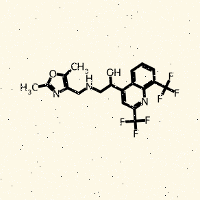 Cc1nc(CNCC(O)c2cc(C(F)(F)F)nc3c(C(F)(F)F)cccc23)c(C)o1